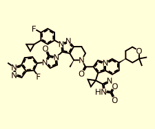 C[C@H]1c2c(nn(-c3ccc(F)c(C4CC4)c3)c2-n2ccn(-c3ccc4c(cnn4C)c3F)c2=O)CCN1C(=O)c1cn2cc([C@H]3CCOC(C)(C)C3)ccc2c1C1(c2noc(=O)[nH]2)CC1